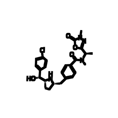 C[C@H](c1nn(C)c(=O)o1)N(C)C(=O)c1ccc(C[C@@H]2CC[C@H]([C@H](O)c3ccc(Cl)cc3)N2)cc1